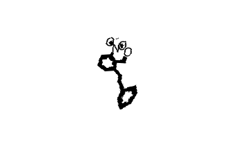 O=Cc1c(CCc2ccccc2)cccc1[N+](=O)[O-]